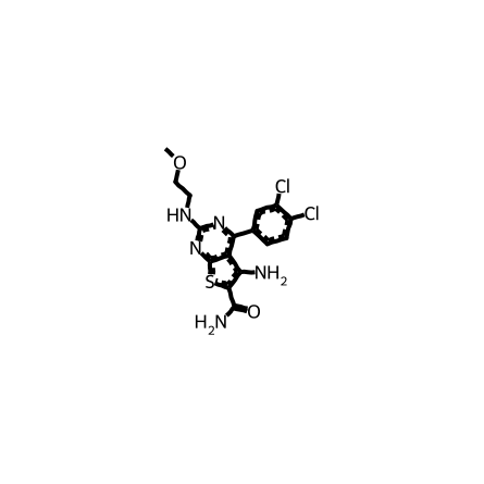 COCCNc1nc(-c2ccc(Cl)c(Cl)c2)c2c(N)c(C(N)=O)sc2n1